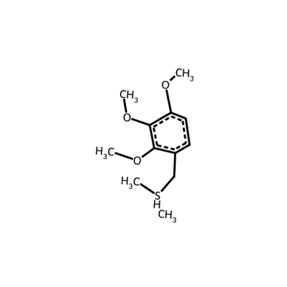 COc1ccc(C[SH](C)C)c(OC)c1OC